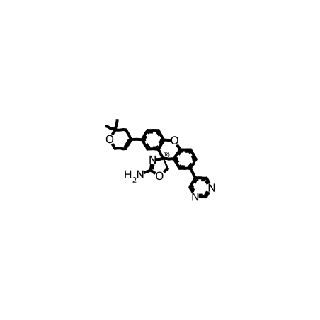 CC1(C)CC(c2ccc3c(c2)[C@]2(COC(N)=N2)c2cc(-c4cncnc4)ccc2O3)=CCO1